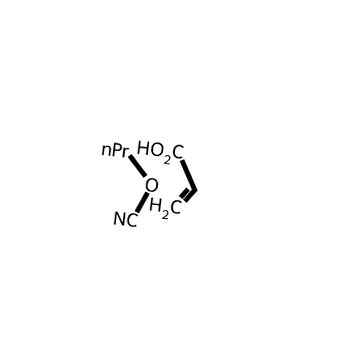 C=CC(=O)O.CCCOC#N